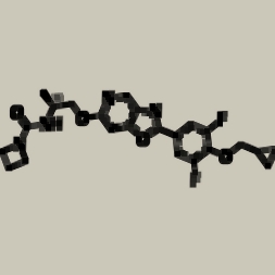 C[C@@H](COc1cc2oc(-c3cc(F)c(OCC4CC4)c(F)c3)nc2cn1)NC(=O)N1CCC1